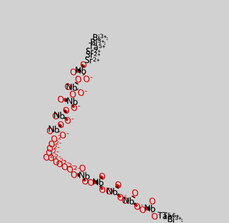 [Bi+3].[Bi+3].[Bi+3].[O-2].[O-2].[O-2].[O-2].[O-2].[O-2].[O-2].[O-2].[O-2].[O-2].[O]=[Nb](=[O])[O-].[O]=[Nb](=[O])[O-].[O]=[Nb](=[O])[O-].[O]=[Nb](=[O])[O-].[O]=[Nb](=[O])[O-].[O]=[Nb](=[O])[O-].[O]=[Nb](=[O])[O-].[O]=[Nb](=[O])[O-].[O]=[Nb](=[O])[O-].[O]=[Nb](=[O])[O-].[Sr+2].[Sr+2].[Sr+2].[Ta+5].[Ta+5].[Ta+5]